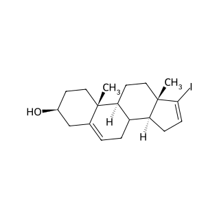 C[C@]12CC[C@H](O)CC1=CCC1[C@@H]2CC[C@]2(C)C(I)=CC[C@@H]12